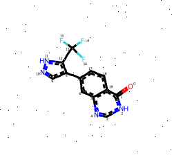 O=c1[nH]cnc2cc(-c3cn[nH]c3C(F)(F)F)ccc12